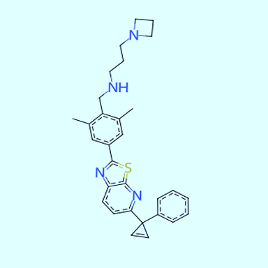 Cc1cc(-c2nc3ccc(C4(c5ccccc5)C=C4)nc3s2)cc(C)c1CNCCCN1CCC1